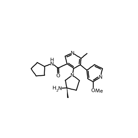 COc1cc(-c2c(C)ncc(C(=O)NC3CCCC3)c2N2CC[C@](C)(N)C2)ccn1